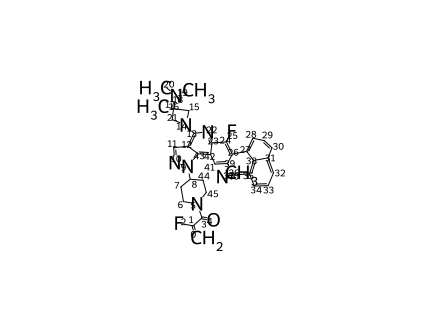 C=C(F)C(=O)N1CCC(n2ncc3c(N4CC(C)(N(C)C)C4)nc4c(F)c(-c5cccc6cccc(C#N)c56)c(C)cc4c32)CC1